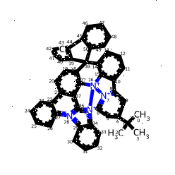 CC(C)(C)c1cc[n+]2c(c1)-c1cccc3c1[N+]21c2c(ccc4c5ccccc5n5c6ccccc6[n+]1c5c24)C31c2ccccc2-c2ccccc21